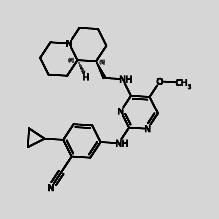 COc1cnc(Nc2ccc(C3CC3)c(C#N)c2)nc1NC[C@@H]1CCCN2CCCC[C@H]12